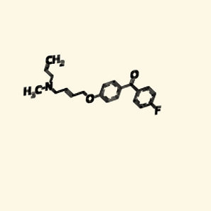 C=CCN(C)C/C=C/COc1ccc(C(=O)c2ccc(F)cc2)cc1